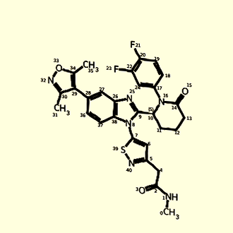 CNC(=O)Cc1cc(-n2c([C@@H]3CCCC(=O)N3c3ccc(F)c(F)c3)nc3cc(-c4c(C)noc4C)ccc32)sn1